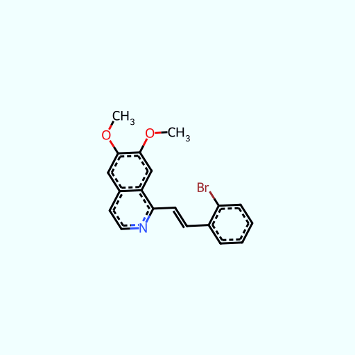 COc1cc2ccnc(C=Cc3ccccc3Br)c2cc1OC